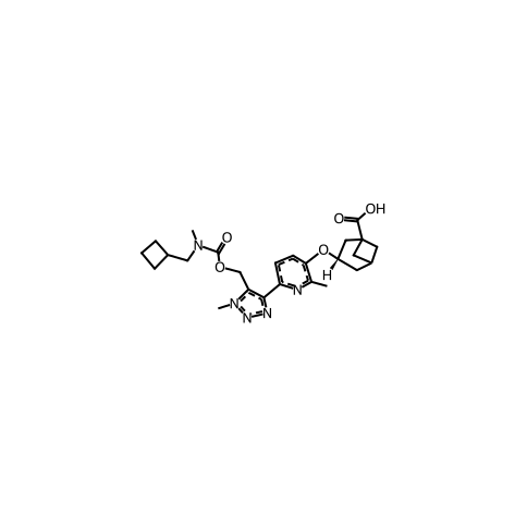 Cc1nc(-c2nnn(C)c2COC(=O)N(C)CC2CCC2)ccc1O[C@H]1CC2CC(C(=O)O)(C2)C1